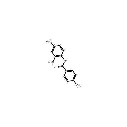 [CH2]c1ccc(C(=O)Nc2ccc(OC)cc2OC)cc1